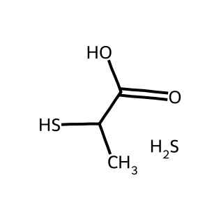 CC(S)C(=O)O.S